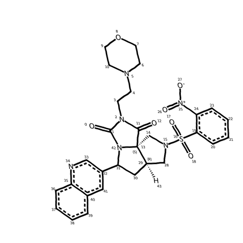 O=C1N(CCN2CCOCC2)C(=O)[C@@]23CN(S(=O)(=O)c4ccccc4[N+](=O)[O-])C[C@H]2CC(c2cnc4ccccc4c2)N13